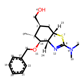 C[C@@H]1[C@@H](CO)C[C@@H]2SC(N(C)C)=N[C@@H]2[C@H]1OCc1ccccc1